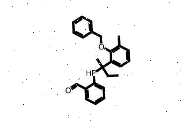 CCC(C)(Pc1ccccc1C=O)c1cccc(C)c1OCc1ccccc1